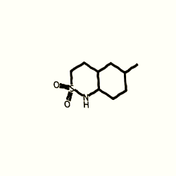 CC1CCC2NS(=O)(=O)CCC2C1